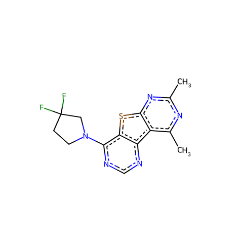 Cc1nc(C)c2c(n1)sc1c(N3CCC(F)(F)C3)ncnc12